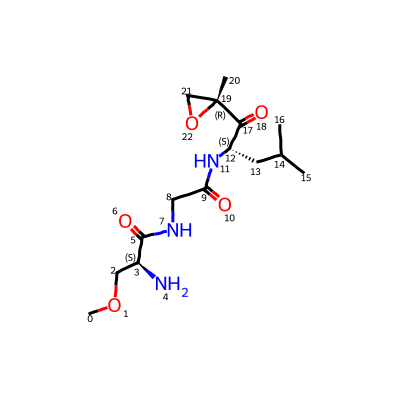 COC[C@H](N)C(=O)NCC(=O)N[C@@H](CC(C)C)C(=O)[C@@]1(C)CO1